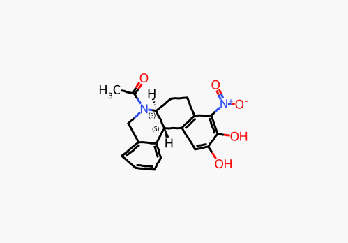 CC(=O)N1Cc2ccccc2[C@H]2c3cc(O)c(O)c([N+](=O)[O-])c3CC[C@@H]21